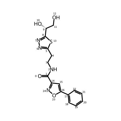 O=C(NCCc1nnc([C@H](O)CO)s1)c1cc(-c2ccccc2)on1